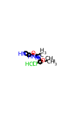 CCc1cc(NC(=O)c2ccc3c(c2)CCNC3)nn1Cc1cc(Cl)ccc1OCC(C)C.Cl